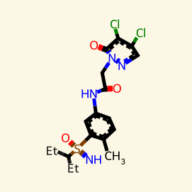 CCC(CC)S(=N)(=O)c1cc(NC(=O)Cn2ncc(Cl)c(Cl)c2=O)ccc1C